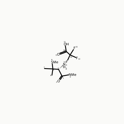 CNC(=O)[C@@H](N)C(C)(C)SC.O=C(O)C(F)(F)F